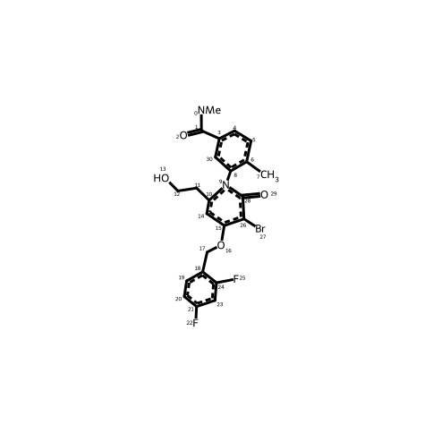 CNC(=O)c1ccc(C)c(-n2c(CCO)cc(OCc3ccc(F)cc3F)c(Br)c2=O)c1